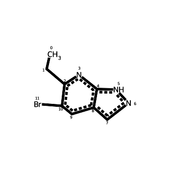 CCc1nc2[nH]ncc2cc1Br